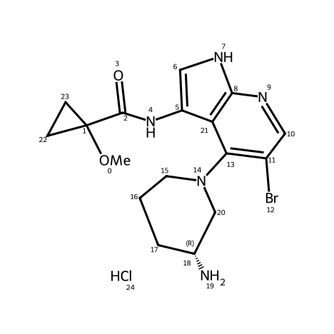 COC1(C(=O)Nc2c[nH]c3ncc(Br)c(N4CCC[C@@H](N)C4)c23)CC1.Cl